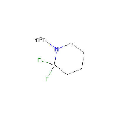 CC[CH]N1CCCCC1(F)F